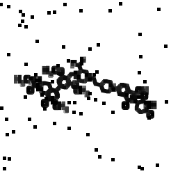 CNC(=O)N1CCc2c(-c3cc(OC)c(CN4CCN(CCC5CCN(c6ccc7c(c6)C(=O)N(C6CCC(=O)NC6=O)C7O)CC5)CC4C(F)F)c(OC)c3)cn(C)c(=O)c2C1